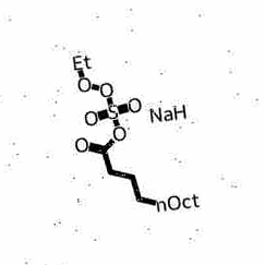 CCCCCCCCCCCC(=O)OS(=O)(=O)OOCC.[NaH]